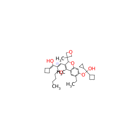 CCCCC(=O)/C(=C\C1=C(C)c2cc(CC)c(OC(O)(C3CCC3)C3CC3)cc2OC1C1(C)COC1)C(O)=C1CCC1